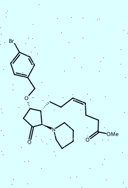 COC(=O)CC/C=C\CC[C@H]1[C@@H](OCc2ccc(Br)cc2)CC(=O)[C@@H]1N1CCCCC1